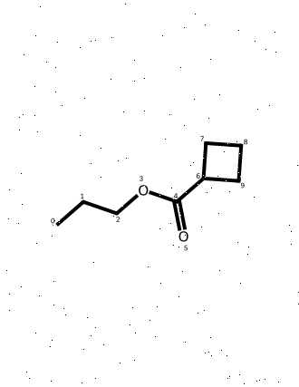 [CH2]CCOC(=O)C1CCC1